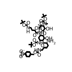 CN(C(=O)OC(C)(C)C)[C@@H]1[C@@H](O)[C@@H](O[C@H]2[C@H](NC(=O)[C@@H](O)CCNC(=O)OC(C)(C)C)C[C@H](NC(=O)OC(C)(C)C)C([C@H]3OC(CNC(=O)OCc4ccc([N+](=O)[O-])cc4)=CC[C@H]3N)[C@@H]2O)OC[C@]1(C)O